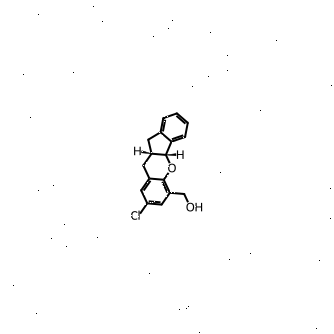 OCc1cc(Cl)cc2c1O[C@H]1c3ccccc3C[C@H]1C2